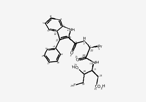 CC(C)[C@H](NC(=O)c1[nH]c2ccccc2c1-c1ccccc1)C(=O)NC(CC(=O)O)C(O)CF